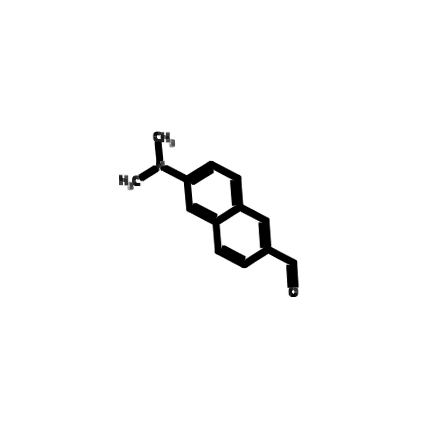 CN(C)c1ccc2cc(C=O)ccc2c1